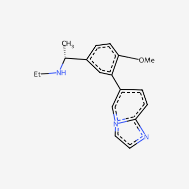 CCN[C@H](C)c1ccc(OC)c(-c2ccc3nccn3c2)c1